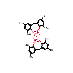 CC(C)(C)c1cc2c(c(C(C)(C)C)c1)OP(=O)(OOP1(=O)Oc3c(cc(C(C)(C)C)cc3C(C)(C)C)Cc3cc(C(C)(C)C)cc(C(C)(C)C)c3O1)Oc1c(cc(C(C)(C)C)cc1C(C)(C)C)C2